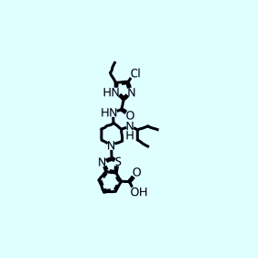 CCc1[nH]c(C(=O)NC2CCN(c3nc4cccc(C(=O)O)c4s3)CC2NC(CC)CC)nc1Cl